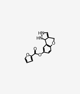 O=C(Oc1ccc2c(c1)C1NNC=C1CO2)c1ccco1